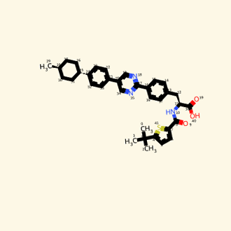 CC(C)(C)c1ccc(C(=O)N[C@@H](Cc2ccc(-c3ncc(-c4ccc([C@H]5CC[C@H](C)CC5)cc4)cn3)cc2)C(=O)O)s1